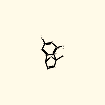 CC12C=CC(O1)c1cc(F)cc(Br)c12